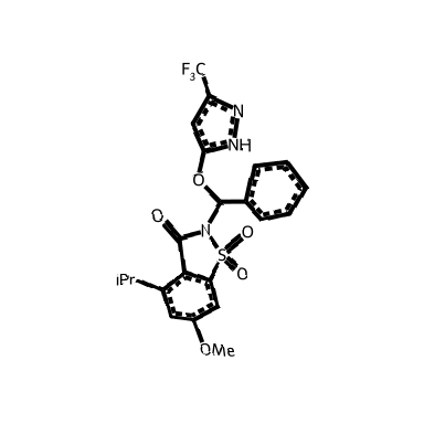 COc1cc(C(C)C)c2c(c1)S(=O)(=O)N(C(Oc1cc(C(F)(F)F)n[nH]1)c1ccccc1)C2=O